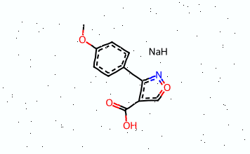 COc1ccc(-c2nocc2C(=O)O)cc1.[NaH]